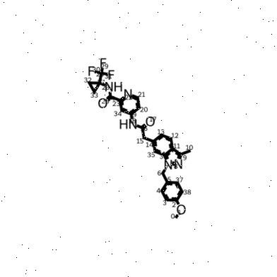 COc1ccc(Cn2nc(C)c3ccc(CC(=O)Nc4ccnc(C(=O)NC5(C(F)(F)F)CC5)c4)cc32)cc1